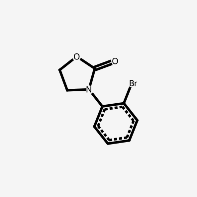 O=C1OCCN1c1ccccc1Br